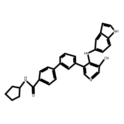 N#Cc1cncc(-c2cccc(-c3ccc(C(=O)NC4CCCC4)cc3)c2)c1Nc1ccc2[nH]ccc2c1